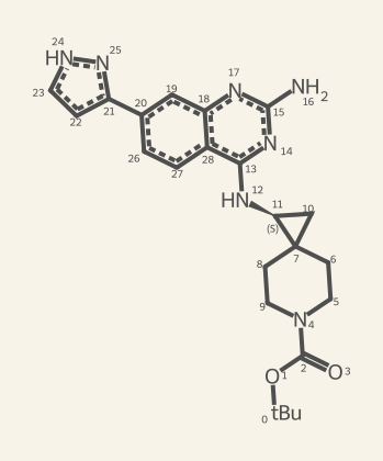 CC(C)(C)OC(=O)N1CCC2(CC1)C[C@@H]2Nc1nc(N)nc2cc(-c3cc[nH]n3)ccc12